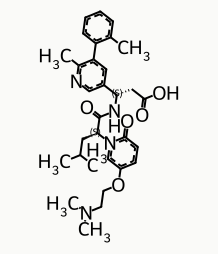 Cc1ccccc1-c1cc([C@H](CC(=O)O)NC(=O)[C@H](CC(C)C)n2cc(OCCN(C)C)ccc2=O)cnc1C